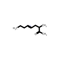 CCC/C=C/CC(C)C(C)=O